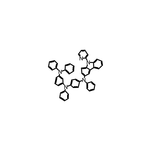 c1ccc(N(c2ccccc2)c2cccc(N(c3ccccc3)c3ccc(N(c4ccccc4)c4ccc5c(c4)c4ccccc4n5-c4ccccn4)cc3)c2)cc1